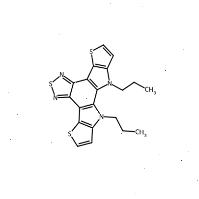 CCCn1c2ccsc2c2c3nsnc3c3c4sccc4n(CCC)c3c21